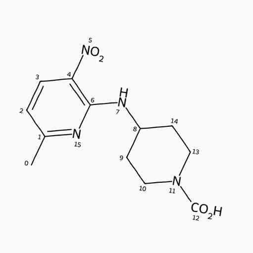 Cc1ccc([N+](=O)[O-])c(NC2CCN(C(=O)O)CC2)n1